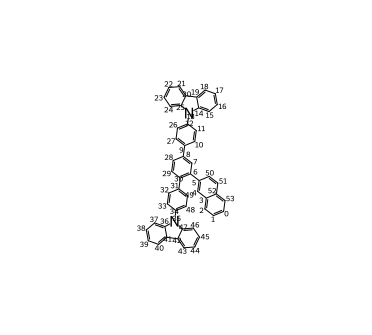 c1ccc2cc(-c3cc(-c4ccc(-n5c6ccccc6c6ccccc65)cc4)ccc3-c3ccc(-n4c5ccccc5c5ccccc54)cc3)ccc2c1